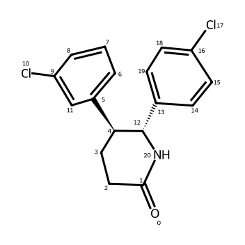 O=C1CC[C@@H](c2cccc(Cl)c2)[C@H](c2ccc(Cl)cc2)N1